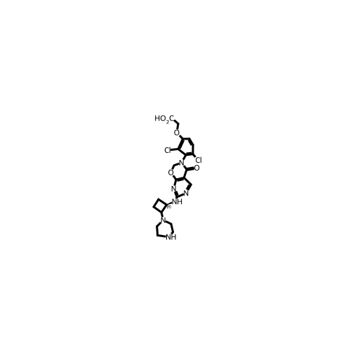 O=C(O)COc1ccc(Cl)c(N2COc3nc(N[C@@H]4CCC4N4CCNCC4)ncc3C2=O)c1Cl